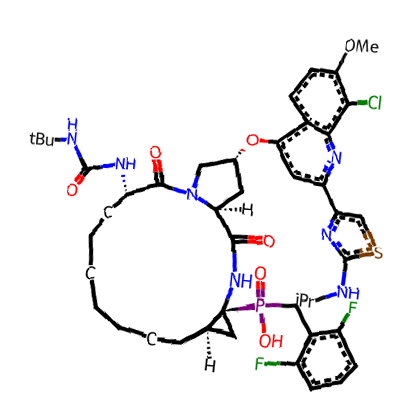 COc1ccc2c(O[C@@H]3C[C@H]4C(=O)N[C@]5(P(=O)(O)Cc6c(F)cccc6F)C[C@H]5CCCCCCC[C@H](NC(=O)NC(C)(C)C)C(=O)N4C3)cc(-c3csc(NC(C)C)n3)nc2c1Cl